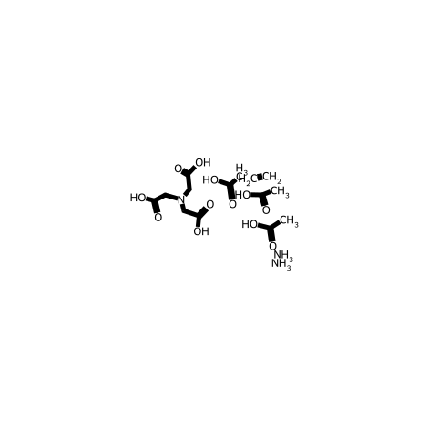 C=C.CC(=O)O.CC(=O)O.CC(=O)O.N.N.O=C(O)CN(CC(=O)O)CC(=O)O